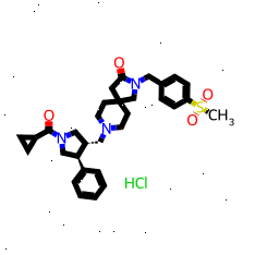 CS(=O)(=O)c1ccc(CN2CC3(CCN(C[C@H]4CN(C(=O)C5CC5)C[C@@H]4c4ccccc4)CC3)CC2=O)cc1.Cl